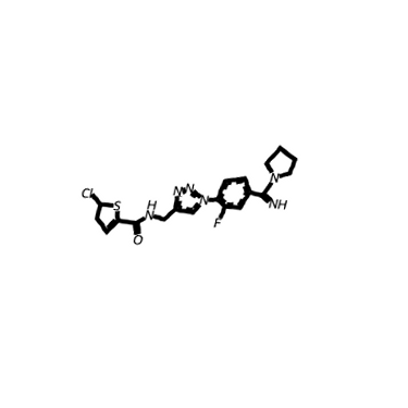 N=C(c1ccc(-n2cc(CNC(=O)C3=CCC(Cl)S3)nn2)c(F)c1)N1CCCC1